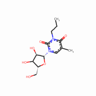 CCCn1c(=O)c(C)cn([C@@H]2O[C@H](CO)C(O)[C@H]2O)c1=O